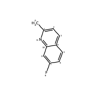 [CH2]c1ccc2ccc(F)cc2n1